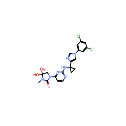 CN1C(=O)N(c2ccnc(NC3(c4cn(-c5cc(Cl)cc(Cl)c5)cn4)CC3)n2)CC1(O)O